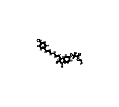 CCOC(=O)C(C)(C)Oc1ccc2[nH]c(C)c(CCCCCCc3ccc(Cl)cc3)c2c1